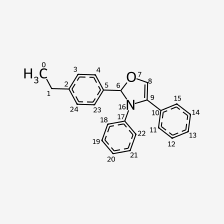 CCc1ccc(C2OC=C(c3ccccc3)N2c2ccccc2)cc1